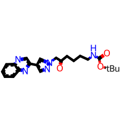 CC(C)(C)OC(=O)NCCCCC(=O)Cn1cc(-c2cnc3ccccc3n2)cn1